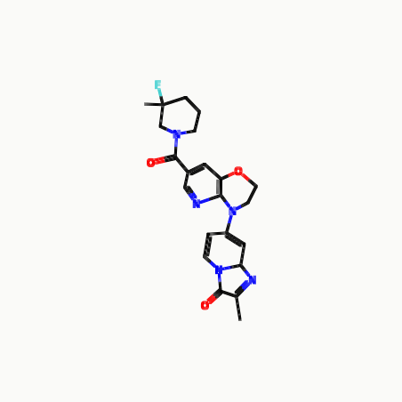 CC1=NC2C=C(N3CCOc4cc(C(=O)N5CCCC(C)(F)C5)cnc43)C=CN2C1=O